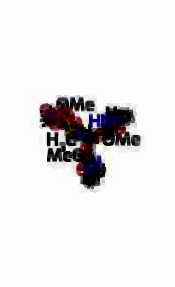 COCCOCCOCCN(CC(C)(C)SSCCCC(=O)ON1C(=O)C=CC1=O)c1cc(COc2cc3c(cc2OC)C(=O)N2c4ccccc4C[C@H]2C=N3)cc(COc2cc3c(cc2OC)C(=O)N2c4ccccc4C[C@H]2CN3)c1